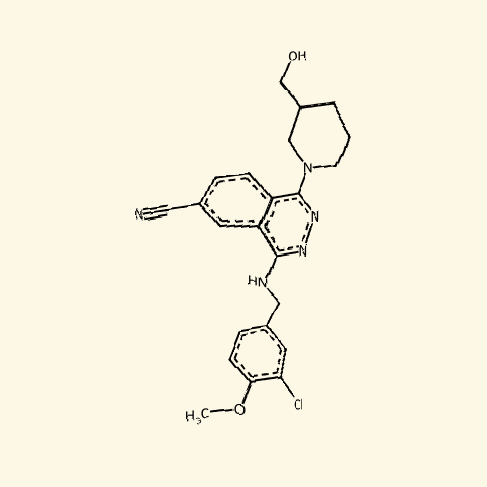 COc1ccc(CNc2nnc(N3CCCC(CO)C3)c3ccc(C#N)cc23)cc1Cl